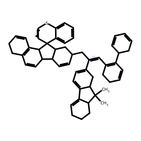 CC1(C)C2CCCC=C2C2=CC=C(/C(=C\C3=C(C4C=CC=CC4)C=CCC3)CC3C=CC4C5C=CC6=C(C=CCC6)C5C5(c6ccccc6SC6C=CC=CC65)C4C3)CC21